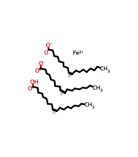 CCCCCCCC/C=C\CCCCCCCC(=O)O.CCCCCCCC/C=C\CCCCCCCC(=O)[O-].CCCCCCCC/C=C\CCCCCCCC(=O)[O-].[Fe+2]